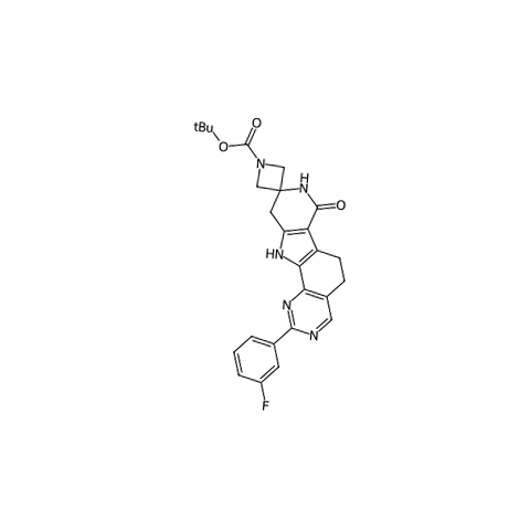 CC(C)(C)OC(=O)N1CC2(Cc3[nH]c4c(c3C(=O)N2)CCc2cnc(-c3cccc(F)c3)nc2-4)C1